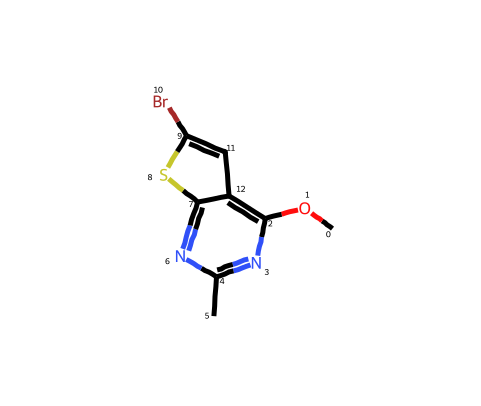 COc1nc(C)nc2sc(Br)cc12